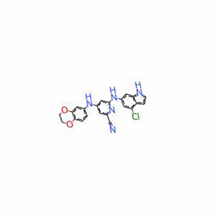 N#Cc1cc(Nc2ccc3c(c2)OCCO3)cc(Nc2cc(Cl)c3cc[nH]c3c2)n1